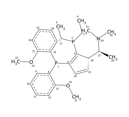 CCP(CC)C1=C(P(c2ccccc2OC)c2ccccc2OC)C=C[C@H]1[C@H](C)N(C)C